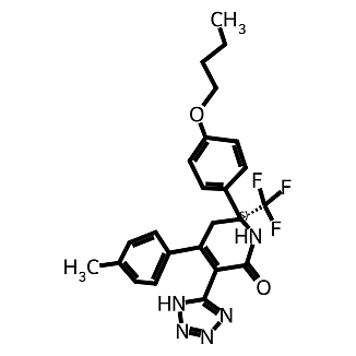 CCCCOc1ccc([C@]2(C(F)(F)F)CC(c3ccc(C)cc3)=C(c3nnn[nH]3)C(=O)N2)cc1